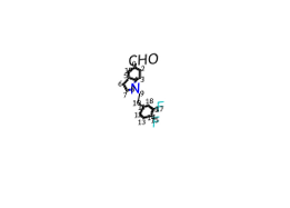 O=Cc1ccc2c(ccn2CCc2ccc(F)c(F)c2)c1